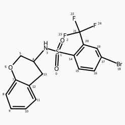 O=S(=O)(NC1COc2ccccc2C1)c1ccc(Br)cc1C(F)(F)F